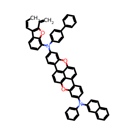 C=Cc1oc2c(N(c3ccc(-c4ccccc4)cc3)c3ccc4c(c3)Oc3ccc5c6c(ccc-4c36)Oc3cc(N(c4ccccc4)c4ccc6ccccc6c4)ccc3-5)cccc2c1/C=C\C